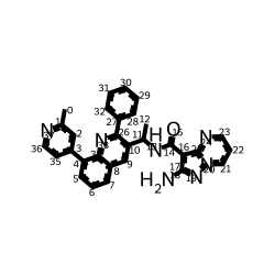 Cc1cc(-c2cccc3cc(C(C)NC(=O)c4c(N)nn5cccnc45)c(-c4ccccc4)nc23)ccn1